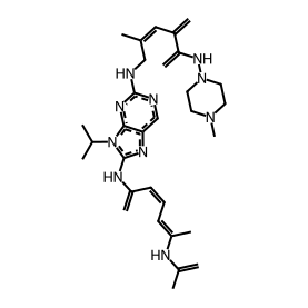 C=C(C)N/C(C)=C/C=C\C(=C)Nc1nc2cnc(NC/C(C)=C\C(=C)C(=C)NN3CCN(C)CC3)nc2n1C(C)C